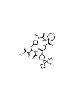 CC(C)(C)OC(=O)NC1(C(=O)NCC(=O)N2C[C@@]3(C[C@H]2C(=O)NC(CC2CCC2)C(=O)C(N)=O)C(C)(C)C32CCC2)CCOCC1